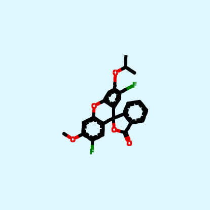 COc1cc2c(cc1F)C1(OC(=O)c3ccccc31)c1cc(F)c(OC(C)C)cc1O2